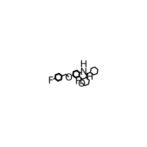 Fc1ccc(COc2ccc3c(c2)[C@H]2OCCC[C@H]2C(C2CCCCC2)N3)cc1